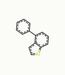 c1ccc(-c2cccc3sccc23)cc1